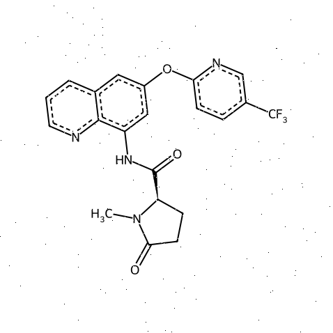 CN1C(=O)CC[C@@H]1C(=O)Nc1cc(Oc2ccc(C(F)(F)F)cn2)cc2cccnc12